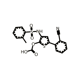 Cc1ccccc1S(=O)(=O)Nc1cc(-c2ccccc2C#N)sc1OC(=O)O